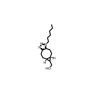 CCCCCCn1nnc2c1CC[C@@H]1C(CO)[C@@H]1CC2